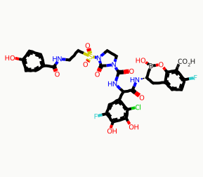 O=C(NCCS(=O)(=O)N1CCN(C(=O)NC(C(=O)N[C@H]2Cc3ccc(F)c(C(=O)O)c3OB2O)c2cc(F)c(O)c(O)c2Cl)C1=O)c1ccc(O)cc1